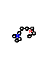 c1ccc(-c2cccc3c2oc2c(-c4ccc(-c5cccc(-c6ccc(N(c7ccccc7)c7cccc8ccccc78)cc6)c5)cc4)cccc23)cc1